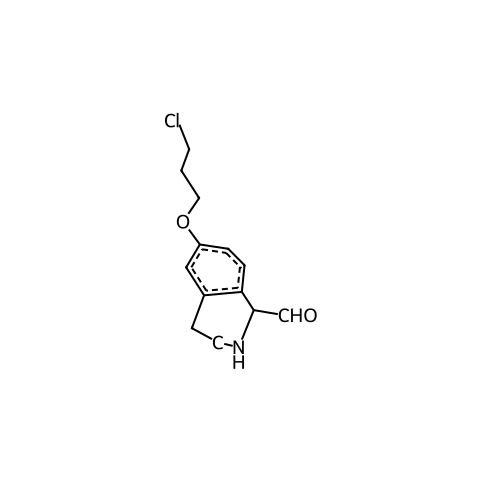 O=CC1NCCc2cc(OCCCCl)ccc21